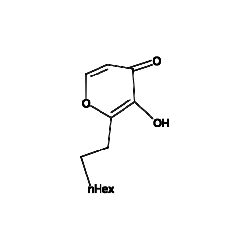 CCCCCCCCc1occc(=O)c1O